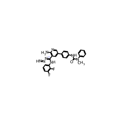 CN(C(=O)Nc1ccc(-c2cnc(N)c(/C(=N/N=N)Nc3cccc(F)c3F)c2)cc1)c1ccccc1